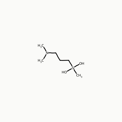 CN(C)CCC[Si](C)(O)O